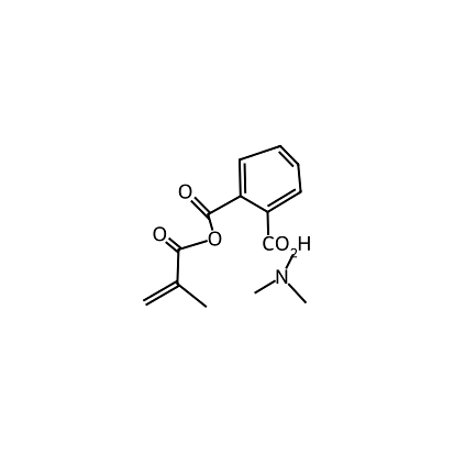 C=C(C)C(=O)OC(=O)c1ccccc1C(=O)O.CN(C)C